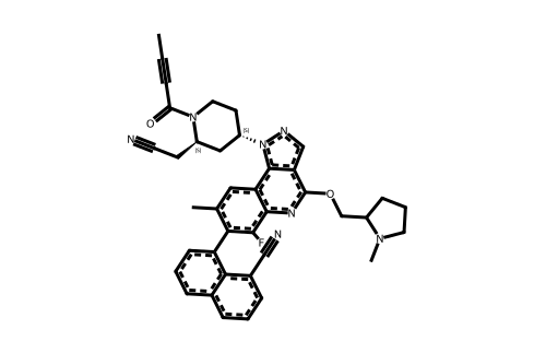 CC#CC(=O)N1CC[C@H](n2ncc3c(OCC4CCCN4C)nc4c(F)c(-c5cccc6cccc(C#N)c56)c(C)cc4c32)C[C@H]1CC#N